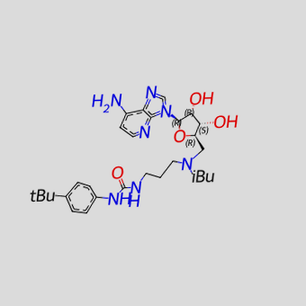 CCC(C)N(CCCNC(=O)Nc1ccc(C(C)(C)C)cc1)C[C@H]1O[C@@H](n2cnc3c(N)ccnc32)[C@H](O)[C@@H]1O